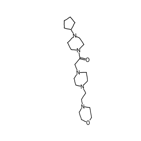 O=C(CN1CCN(CCN2CCOCC2)CC1)N1CCN(C2CCCC2)CC1